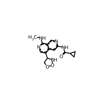 CNc1ncc(C2BOOC2)c2cc(NC(=O)C3CC3)ncc12